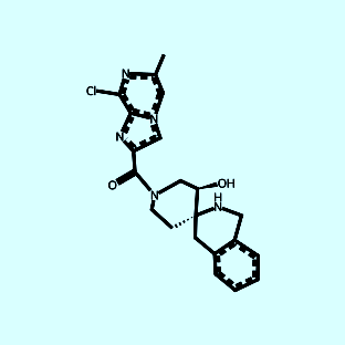 Cc1cn2cc(C(=O)N3CC[C@]4(Cc5ccccc5CN4)[C@H](O)C3)nc2c(Cl)n1